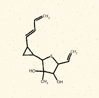 C=CC=CC1CC1C1SC(C=C)C(O)C1(C)O